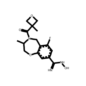 CC1COc2cc(C(=N)NO)cc(F)c2CN1C(=O)C1(C)COC1